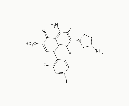 Nc1c(F)c(N2CCC(N)C2)c(F)c2c1c(=O)c(C(=O)O)cn2-c1ccc(F)cc1F